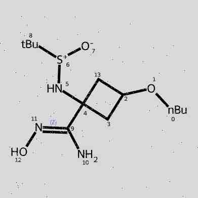 CCCCOC1CC(N[S+]([O-])C(C)(C)C)(/C(N)=N/O)C1